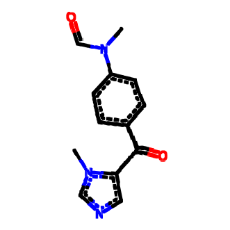 CN(C=O)c1ccc(C(=O)c2cncn2C)cc1